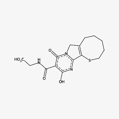 O=C(O)CNC(=O)c1c(O)nc2n(c1=O)CC1=C2SCCCCC1